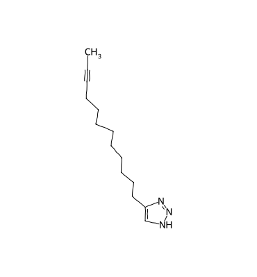 CC#CCCCCCCCCCc1c[nH]nn1